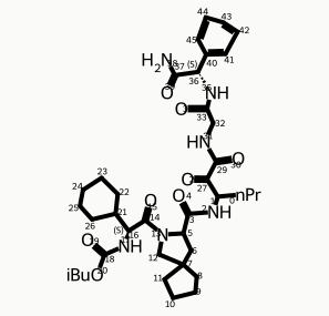 CCCC(NC(=O)C1CC2(CCCC2)CN1C(=O)[C@@H](NC(=O)OCC(C)C)C1CCCCC1)C(=O)C(=O)NCC(=O)N[C@H](C(N)=O)c1ccccc1